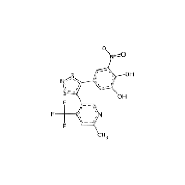 Cc1cc(C(F)(F)F)c(-c2snnc2-c2cc(O)c(O)c([N+](=O)[O-])c2)cn1